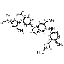 COc1cc2c(cc1Nc1cc(C3CN(C)C3)c(C)nn1)ncn2-c1ccc(C(F)F)c(-n2nc(C(F)F)cc2C)n1